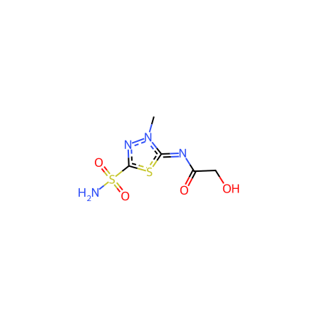 Cn1nc(S(N)(=O)=O)sc1=NC(=O)CO